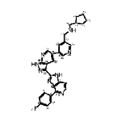 Fc1ccc(-c2nccc3[nH]c(-c4n[nH]c5ncc(-c6cncc(CNCC7CCCC7)c6)cc45)nc23)cc1